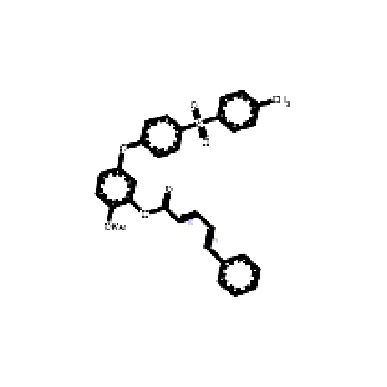 COc1ccc(Oc2ccc(S(=O)(=O)c3ccc(C)cc3)cc2)cc1OC(=O)/C=C/C=C/c1ccccc1